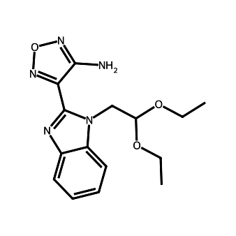 CCOC(Cn1c(-c2nonc2N)nc2ccccc21)OCC